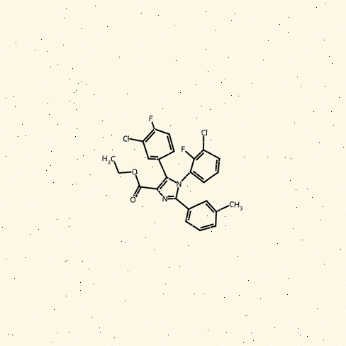 CCOC(=O)c1nc(-c2cccc(C)c2)n(-c2cccc(Cl)c2F)c1-c1ccc(F)c(Cl)c1